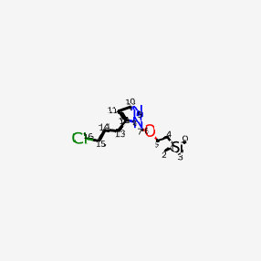 C[Si](C)(C)CCOCn1nccc1CCCCl